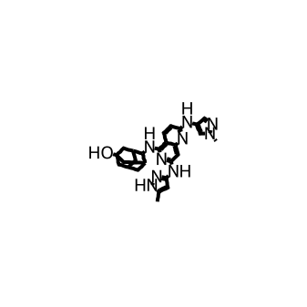 Cc1cc(Nc2cc3nc(Nc4cnn(C)c4)ccc3c(NC3C4CC5CC3CC(O)(C5)C4)n2)n[nH]1